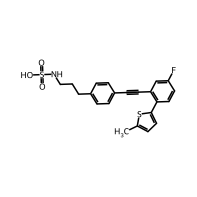 Cc1ccc(-c2ccc(F)cc2C#Cc2ccc(CCCNS(=O)(=O)O)cc2)s1